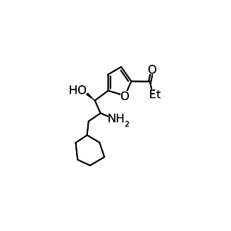 CCC(=O)c1ccc([C@H](O)C(N)CC2CCCCC2)o1